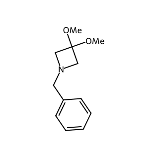 COC1(OC)CN(Cc2ccccc2)C1